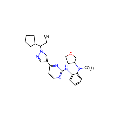 N#CCC(C1CCCC1)n1cc(-c2ccnc(Nc3ccccc3N(C(=O)O)C3CCOC3)n2)cn1